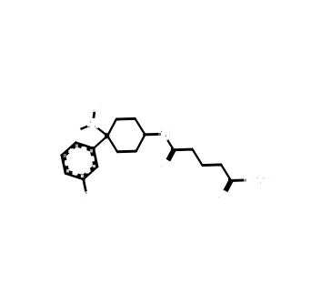 COC(=O)CCCC(=O)NC1CCC(c2cccc(F)c2)(N(C)C)CC1